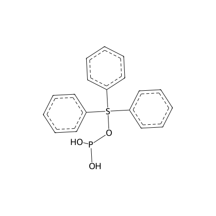 OP(O)OS(c1ccccc1)(c1ccccc1)c1ccccc1